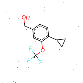 O[CH]c1ccc(C2CC2)c(OC(F)(F)F)c1